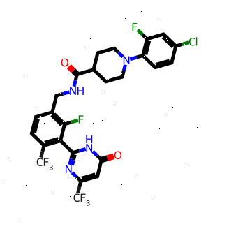 O=C(NCc1ccc(C(F)(F)F)c(-c2nc(C(F)(F)F)cc(=O)[nH]2)c1F)C1CCN(c2ccc(Cl)cc2F)CC1